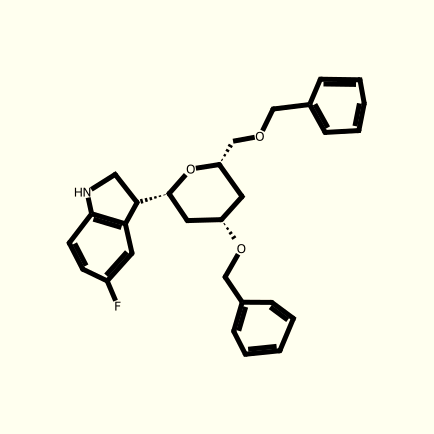 Fc1ccc2c(c1)C([C@H]1C[C@@H](OCc3ccccc3)C[C@@H](COCc3ccccc3)O1)CN2